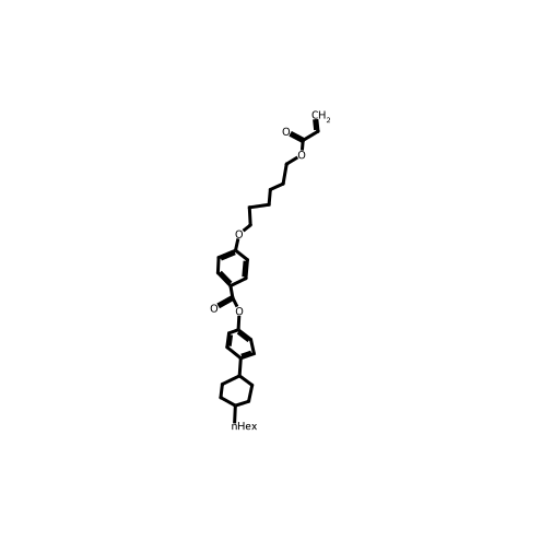 C=CC(=O)OCCCCCCOc1ccc(C(=O)Oc2ccc(C3CCC(CCCCCC)CC3)cc2)cc1